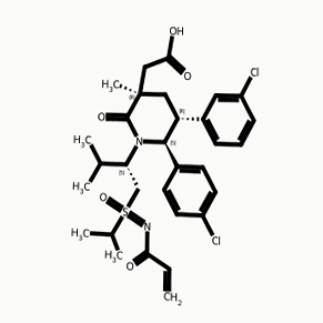 C=CC(=O)N=S(=O)(C[C@H](C(C)C)N1C(=O)[C@@](C)(CC(=O)O)C[C@H](c2cccc(Cl)c2)[C@H]1c1ccc(Cl)cc1)C(C)C